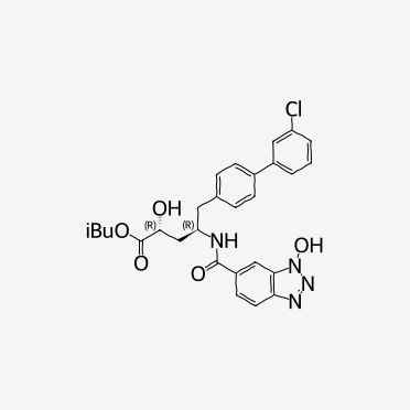 CC(C)COC(=O)[C@H](O)C[C@@H](Cc1ccc(-c2cccc(Cl)c2)cc1)NC(=O)c1ccc2nnn(O)c2c1